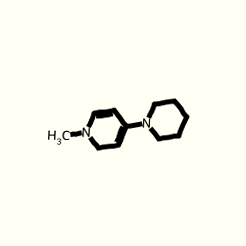 CN1C=CC(N2CCCCC2)=CC1